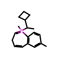 Cc1ccc2c(c1)C=CCC=P2(C)C(C)C1CCC1